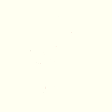 Cc1nc2ccc(S(=O)(=O)NCCN(C)C)cc2s1